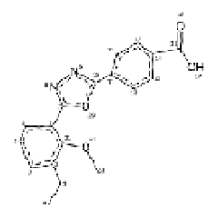 CCc1cccc(-c2nnc(-c3ccc(C(=O)O)cc3)o2)c1OC